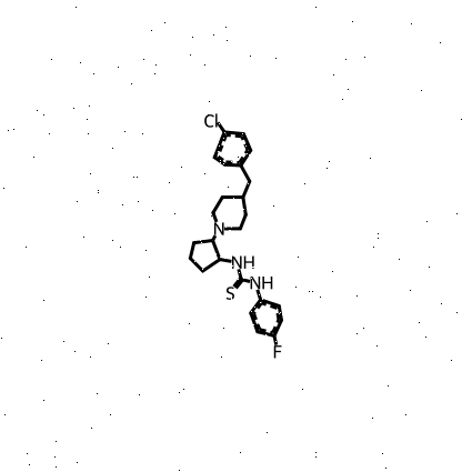 Fc1ccc(NC(=S)NC2CCCC2N2CCC(Cc3ccc(Cl)cc3)CC2)cc1